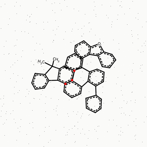 CC1(C)c2ccccc2-c2ccc(N(c3cccc(-c4ccccc4)c3-c3ccccc3-c3ccccc3)c3cccc4oc5ccccc5c34)cc21